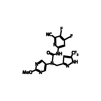 COc1ncc(N(Cc2cc(C(F)(F)F)[nH]n2)C(=O)Nc2cc(F)c(F)c(C#N)n2)cn1